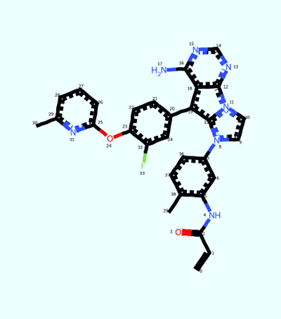 C=CC(=O)Nc1cc(-n2ccn3c4ncnc(N)c4c(-c4ccc(Oc5cccc(C)n5)c(F)c4)c23)ccc1C